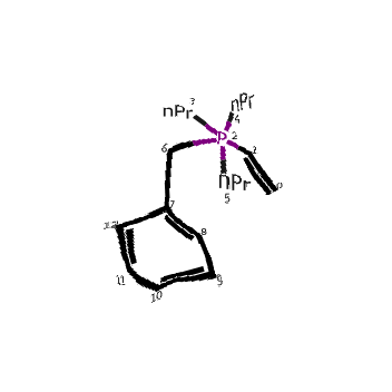 C=CP(CCC)(CCC)(CCC)Cc1ccccc1